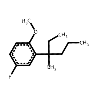 BC(CC)(CCC)c1cc(F)ccc1OC